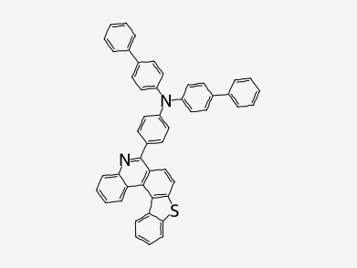 c1ccc(-c2ccc(N(c3ccc(-c4ccccc4)cc3)c3ccc(-c4nc5ccccc5c5c4ccc4sc6ccccc6c45)cc3)cc2)cc1